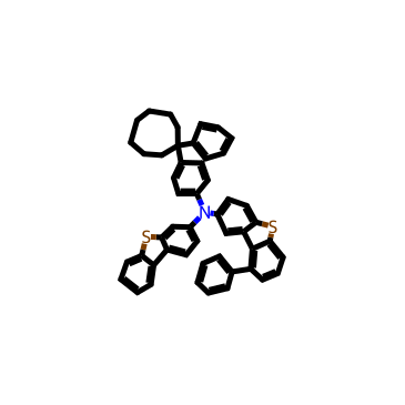 c1ccc(-c2cccc3sc4ccc(N(c5ccc(C6(c7ccccc7)CCCCCCC6)cc5)c5ccc6c(c5)sc5ccccc56)cc4c23)cc1